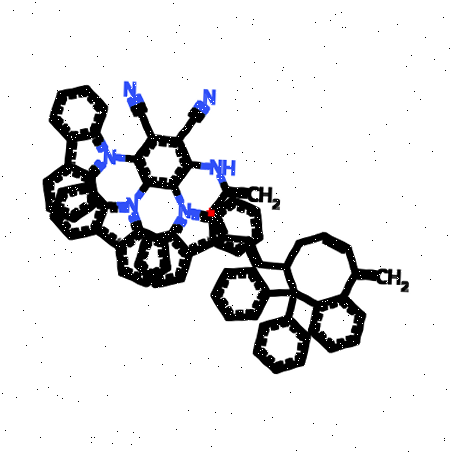 C=C(/C=C\C=CC1C/C=C\C(=C)c2ccccc2C1(c1ccccc1)c1ccccc1)Nc1c(C#N)c(C#N)c(-n2c3ccccc3c3ccccc32)c(-n2c3ccccc3c3ccccc32)c1-n1c2ccccc2c2ccccc21